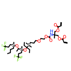 C=CC(=O)OCC(C)(COC(=O)C=C)NC(=O)OCCOCCC[Si](C)(C)C(CC)(CC)O[Si](C)(CCC(F)(F)F)C(C)O[Si](C)(CCCC)CCC(F)(F)F